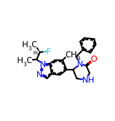 Cc1cc2c(cnn2C(C)[C@@H](C)F)cc1C1CNCC(=O)N1Cc1ccccc1